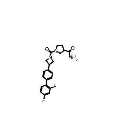 NC(=O)C1CCN(C(=O)N2CC(c3ccc(-c4ccc(F)cc4F)cc3)C2)C1